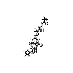 CCC(C)(C)C(=O)CCCNC(=O)OCC1=CN2C(=O)C(NC(=O)Cc3cccs3)C2[S+]([O-])C1